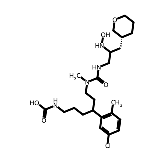 Cc1ccc(Cl)cc1C(CCCNC(=O)O)CCN(C)C(=O)NCC(C[C@H]1CCCOC1)NO